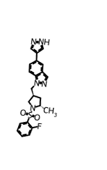 C[C@H]1C[C@H](Cn2ncc3cc(-c4cn[nH]c4)ccc32)CN1S(=O)(=O)c1ccccc1F